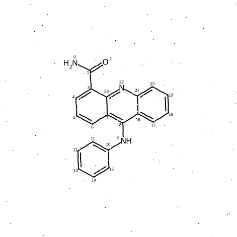 NC(=O)c1cccc2c(Nc3ccccc3)c3ccccc3nc12